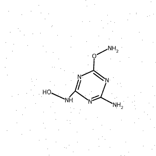 NOc1nc(N)nc(NO)n1